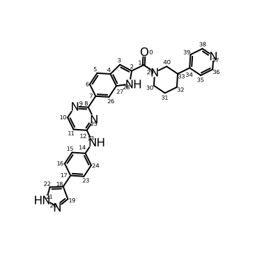 O=C(c1cc2ccc(-c3nccc(Nc4ccc(-c5cn[nH]c5)cc4)n3)cc2[nH]1)N1CCCC(c2ccncc2)C1